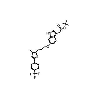 Cc1nc(-c2ccc(C(F)(F)F)cc2)sc1CCCOc1ccc2c(CC(=O)OC(C)(C)C)c[nH]c2c1